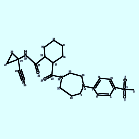 CS(=O)(=O)c1ccc(N2CCCN(C(=O)C3CCCCC3C(=O)NC3(C#N)CC3)CC2)cc1